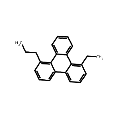 CCCc1cccc2c3cccc(CC)c3c3ccccc3c12